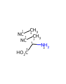 CC#N.CC#N.NCC(=O)O